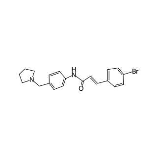 O=C(C=Cc1ccc(Br)cc1)Nc1ccc(CN2CCCC2)cc1